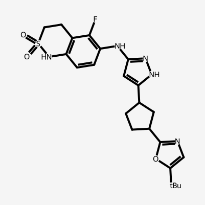 CC(C)(C)c1cnc(C2CCC(c3cc(Nc4ccc5c(c4F)CCS(=O)(=O)N5)n[nH]3)C2)o1